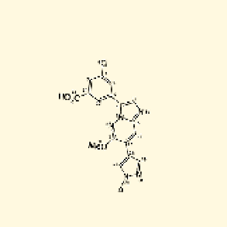 COc1nn2c(-c3cc(Cl)cc(C(=O)O)c3)cnc2cc1-c1cnn(C)c1